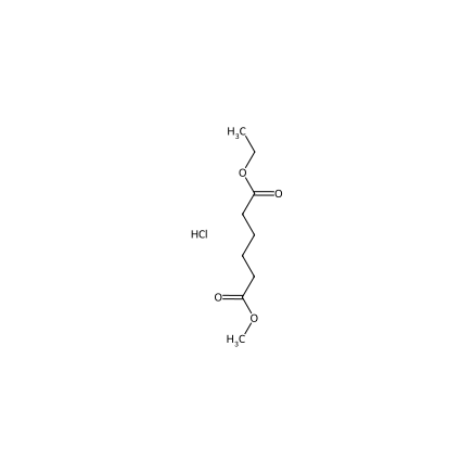 CCOC(=O)CCCCC(=O)OC.Cl